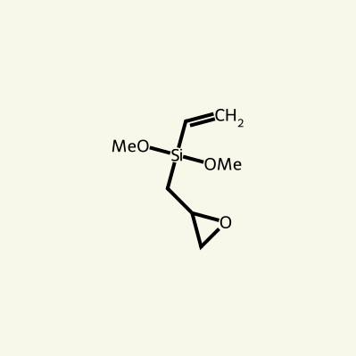 C=C[Si](CC1CO1)(OC)OC